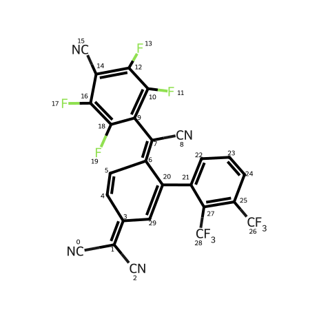 N#CC(C#N)=c1cc/c(=C(/C#N)c2c(F)c(F)c(C#N)c(F)c2F)c(-c2cccc(C(F)(F)F)c2C(F)(F)F)c1